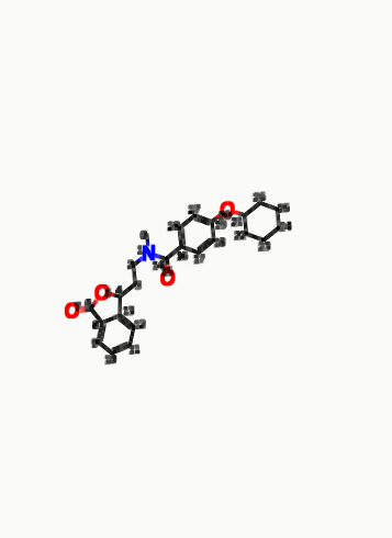 CN(CCC1OC(=O)c2ccccc21)C(=O)c1ccc(OC2CCCCC2)cc1